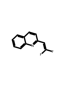 FC(F)=Cc1c[c]c2ccccc2n1